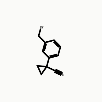 N#CC1(c2cccc(CBr)c2)CC1